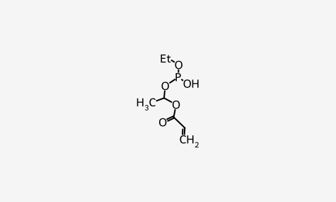 C=CC(=O)OC(C)OP(O)OCC